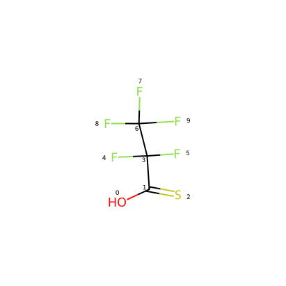 OC(=S)C(F)(F)C(F)(F)F